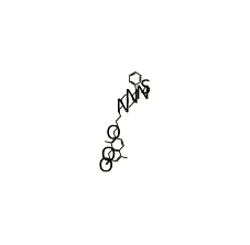 Cc1cc(=O)oc2c(C)c(OCCCCN3CCN(c4nsc5ccccc45)CC3)ccc12